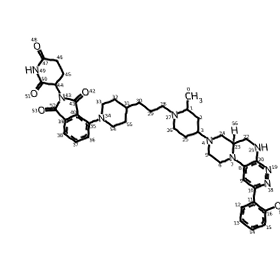 CC1CC(N2CCN3c4cc(-c5ccccc5O)nnc4NC[C@H]3C2)CCN1CCCC1CCN(c2cccc3c2C(=O)N(C2CCC(=O)NC2=O)C3=O)CC1